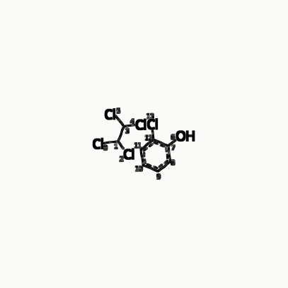 ClC(Cl)C(Cl)Cl.Oc1ccccc1Cl